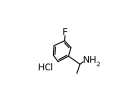 CC(N)c1cccc(F)c1.Cl